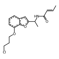 CC=CC(=O)NC(C)c1cc2cccc(OCCCCl)c2o1